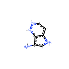 Nc1c[nH]c2ccnnc12